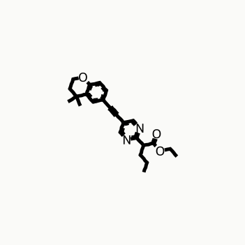 CCCC(C(=O)OCC)c1ncc(C#Cc2ccc3c(c2)C(C)(C)CCO3)cn1